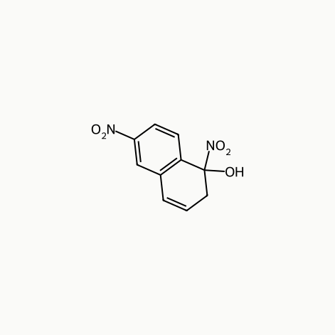 O=[N+]([O-])c1ccc2c(c1)C=CCC2(O)[N+](=O)[O-]